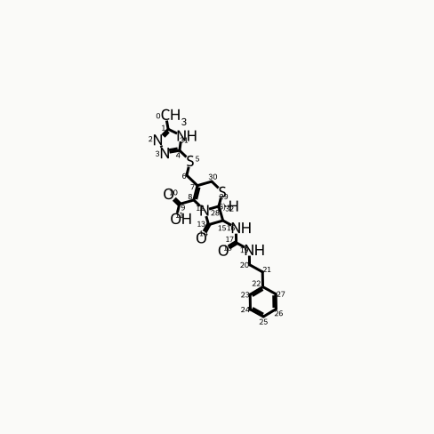 Cc1nnc(SCC2=C(C(=O)O)N3C(=O)C(NC(=O)NCCc4ccccc4)[C@@H]3SC2)[nH]1